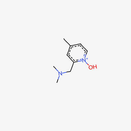 Cc1cc[n+](O)c(CN(C)C)c1